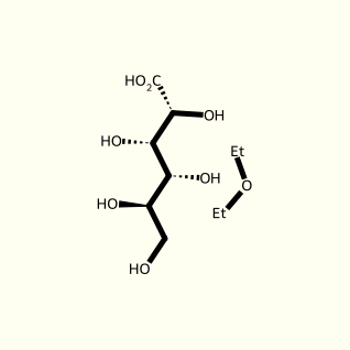 CCOCC.O=C(O)[C@H](O)[C@@H](O)[C@H](O)[C@H](O)CO